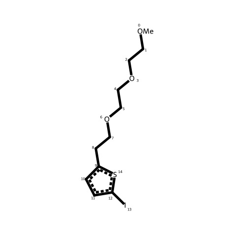 COCCOCCOCCc1ccc(I)s1